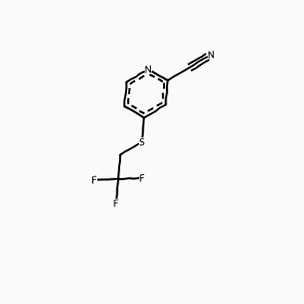 N#Cc1cc(SCC(F)(F)F)ccn1